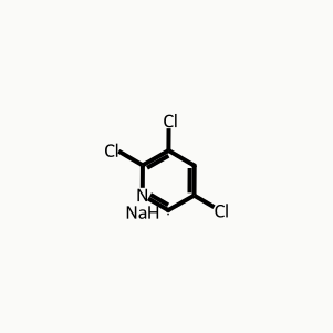 Clc1[c]nc(Cl)c(Cl)c1.[NaH]